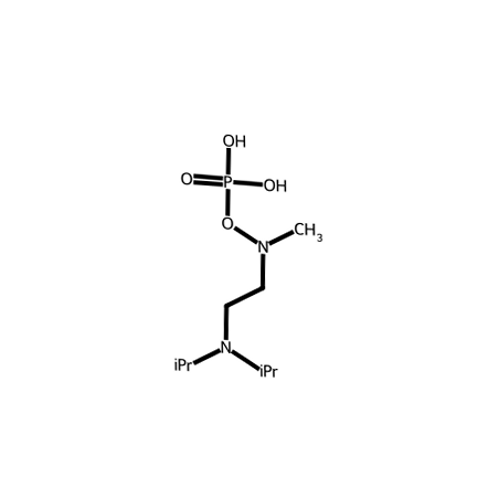 CC(C)N(CCN(C)OP(=O)(O)O)C(C)C